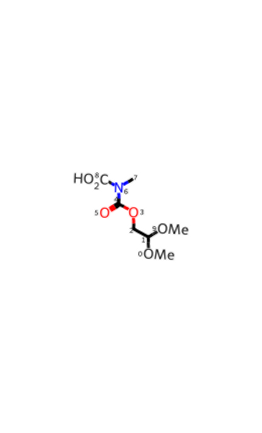 COC(COC(=O)N(C)C(=O)O)OC